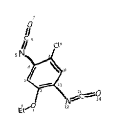 CCOc1cc(N=C=O)c(Cl)cc1N=C=O